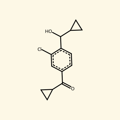 O=C(c1ccc(C(O)C2CC2)c(Cl)c1)C1CC1